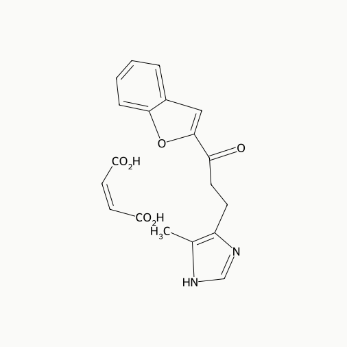 Cc1[nH]cnc1CCC(=O)c1cc2ccccc2o1.O=C(O)/C=C\C(=O)O